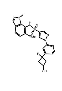 COc1ccc2cnn(C)c2c1NS(=O)(=O)c1cnn(-c2cc(C3(F)CC(O)C3)ccn2)c1